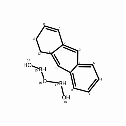 C1=Cc2cc3ccccc3cc2CC1.OBOBO